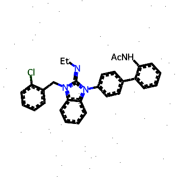 CC/N=c1\n(Cc2ccccc2Cl)c2ccccc2n1-c1ccc(-c2ccccc2NC(C)=O)cc1